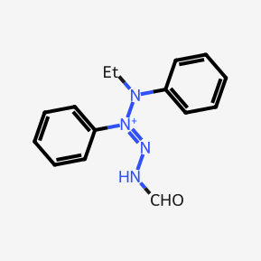 CCN(c1ccccc1)[N+](=NNC=O)c1ccccc1